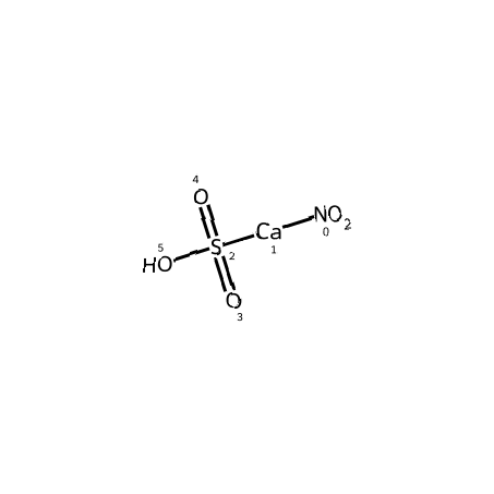 O=[N+]([O-])[Ca][S](=O)(=O)O